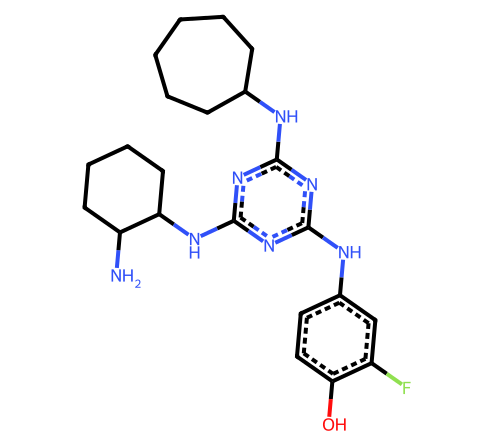 NC1CCCCC1Nc1nc(Nc2ccc(O)c(F)c2)nc(NC2CCCCCC2)n1